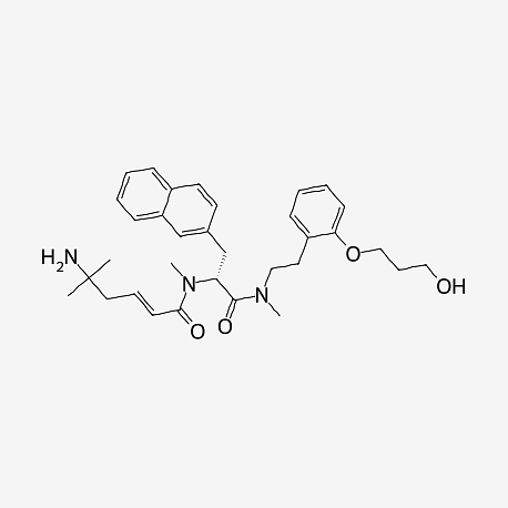 CN(CCc1ccccc1OCCCO)C(=O)[C@@H](Cc1ccc2ccccc2c1)N(C)C(=O)/C=C/CC(C)(C)N